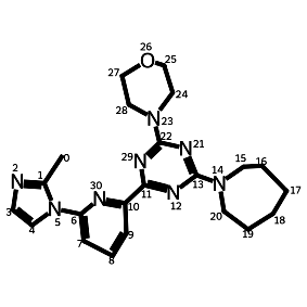 Cc1nccn1-c1cccc(-c2nc(N3CCCCCC3)nc(N3CCOCC3)n2)n1